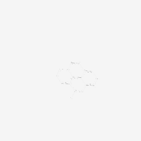 Cl.Nc1cc2cccc3ccc4cccc1c4c32